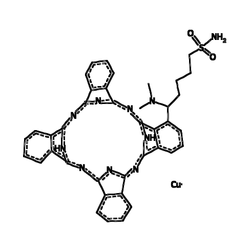 CN(C)C(CCCCS(N)(=O)=O)c1cccc2c3nc4nc(nc5[nH]c(nc6nc(nc([nH]3)c12)-c1ccccc1-6)c1ccccc51)-c1ccccc1-4.[Cu]